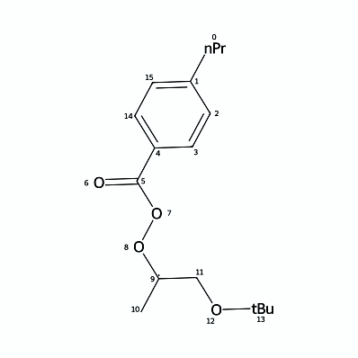 CCCc1ccc(C(=O)OO[C](C)COC(C)(C)C)cc1